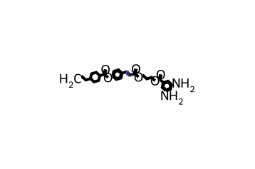 C=CCC1CCC(C(=O)Oc2ccc(/C=C/C(=O)OCCCOC(=O)c3cc(N)cc(N)c3)cc2)CC1